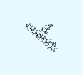 Cc1cc(C[C@@H](OC(=O)N2CCC(N3CCc4ccccc4NC3=O)CC2)C(=O)N2CCN(C3CCOCC3)CC2)cc(C)c1OC=O